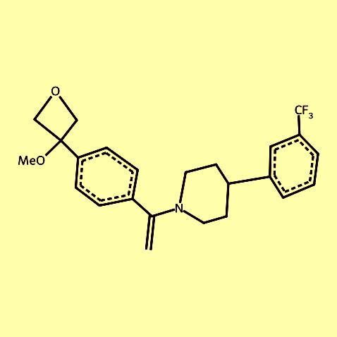 C=C(c1ccc(C2(OC)COC2)cc1)N1CCC(c2cccc(C(F)(F)F)c2)CC1